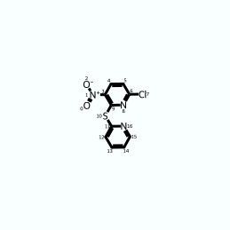 O=[N+]([O-])c1ccc(Cl)nc1Sc1ccccn1